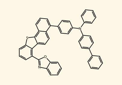 c1ccc(-c2ccc(N(c3ccccc3)c3ccc(-c4cccc5c4ccc4c5sc5cccc(-c6nc7ccccc7o6)c54)cc3)cc2)cc1